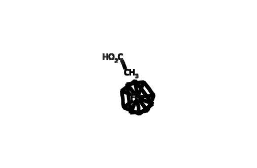 CC(=O)O.[CH]12[CH]3[CH]4[CH]5[CH]1[Fe]23451678[CH]2[CH]1[CH]6[CH]7[CH]28